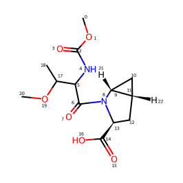 COC(=O)NC(C(=O)N1[C@@H]2C[C@@H]2C[C@H]1C(=O)O)C(C)OC